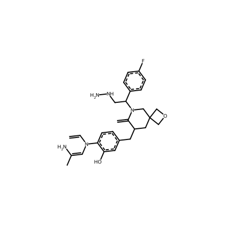 C=CN(/C=C(/C)N)c1ccc(CC2CC3(COC3)CN(C(CNN)c3ccc(F)cc3)C2=C)cc1O